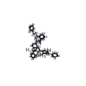 CC1C(C2=C[C@H]3C(=C2)C3c2ccccc2)=CC2(C=C(/C(=N/C(=N\Cc3ccccc3)c3ccccc3)N(I)I)C=CC2C)C1=Cc1ccccc1O